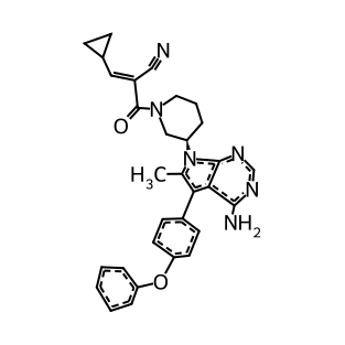 Cc1c(-c2ccc(Oc3ccccc3)cc2)c2c(N)ncnc2n1[C@@H]1CCCN(C(=O)C(C#N)=CC2CC2)C1